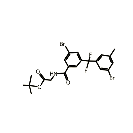 Cc1cc(Br)cc(C(F)(F)c2cc(Br)cc(C(=O)NCC(=O)OC(C)(C)C)c2)c1